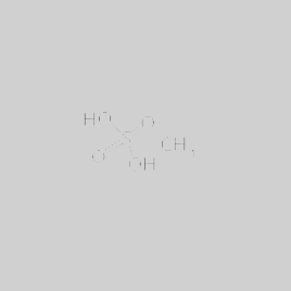 C.O=S(=O)(O)O